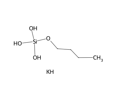 CCCCO[Si](O)(O)O.[KH]